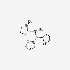 CCCCN(P(c1ccco1)c1ccco1)P1CCC[C@H]1CC